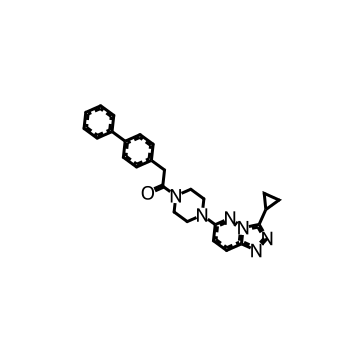 O=C(Cc1ccc(-c2ccccc2)cc1)N1CCN(c2ccc3nnc(C4CC4)n3n2)CC1